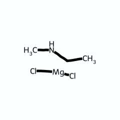 CCNC.[Cl][Mg][Cl]